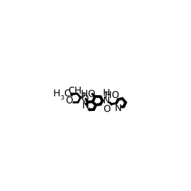 CC1(C)CC(Oc2nccc3cc(NC(=O)c4ncccc4O)cc(O)c23)CCO1